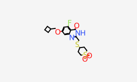 O=c1[nH]c(CSC2CCS(=O)(=O)CC2)nc2cc(OCC3CCC3)cc(F)c12